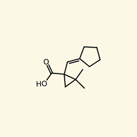 CC1(C)CC1(C=C1CCCC1)C(=O)O